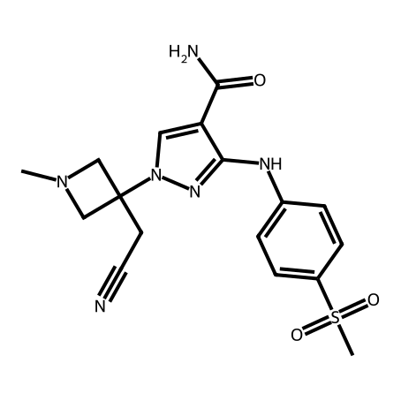 CN1CC(CC#N)(n2cc(C(N)=O)c(Nc3ccc(S(C)(=O)=O)cc3)n2)C1